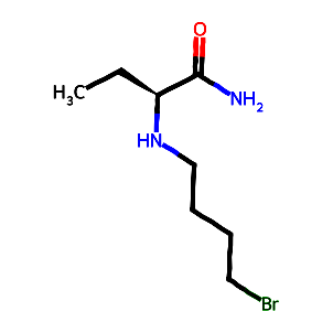 CC[C@H](NCCCCBr)C(N)=O